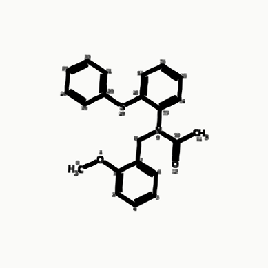 COc1ccccc1CN(C(C)=O)c1ccccc1Sc1ccccc1